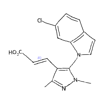 Cc1nn(C)c(-n2ccc3ccc(Cl)cc32)c1/C=C/C(=O)O